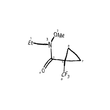 CCN(OC)C(=O)C1(C(F)(F)F)CC1